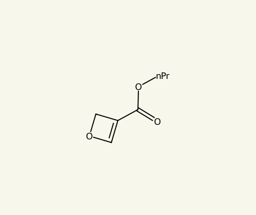 CCCOC(=O)C1=COC1